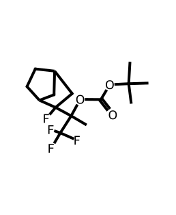 CC(C)(C)OC(=O)OC(C)(C(F)(F)F)C1(F)CC2CCC1C2